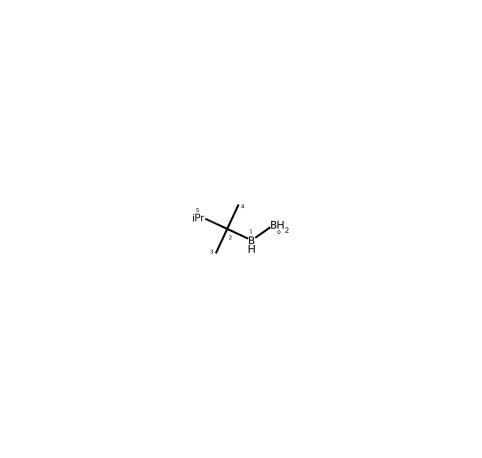 BBC(C)(C)C(C)C